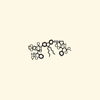 CCCCCC1(CCCCC)c2cc(NC(=O)[C@@H]3CCCN3C(=O)C(NC(=O)OC)c3ccccc3)ccc2-c2ccc(NC(=O)[C@@H]3CC4(CN3C(=O)C(NC(=O)OC)c3ccccc3)OCCO4)cc21